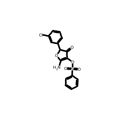 NC1=C(OS(=O)(=O)c2ccccc2)C(=O)C(c2cccc(Cl)c2)O1